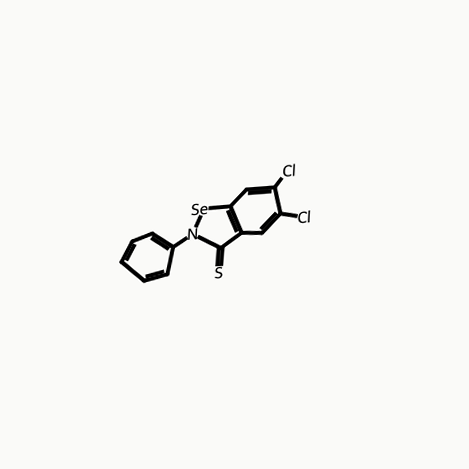 S=c1c2cc(Cl)c(Cl)cc2[se]n1-c1ccccc1